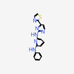 c1ccc(Nc2cccc(Nc3nccc(-c4nccs4)n3)n2)cc1